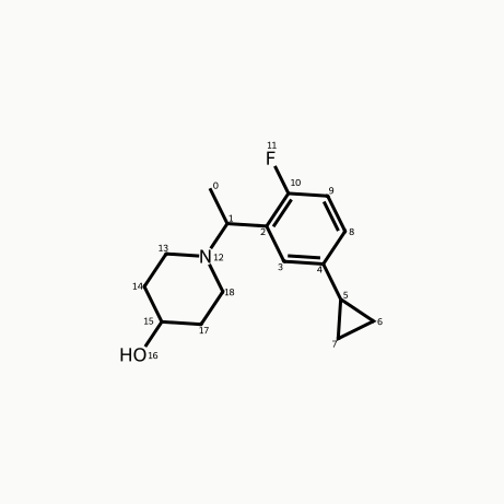 CC(c1cc(C2CC2)ccc1F)N1CCC(O)CC1